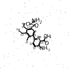 CCc1c(S(N)(=O)=O)cc(-c2ccc(N)c(C(=O)O)n2)c(C)c1CC